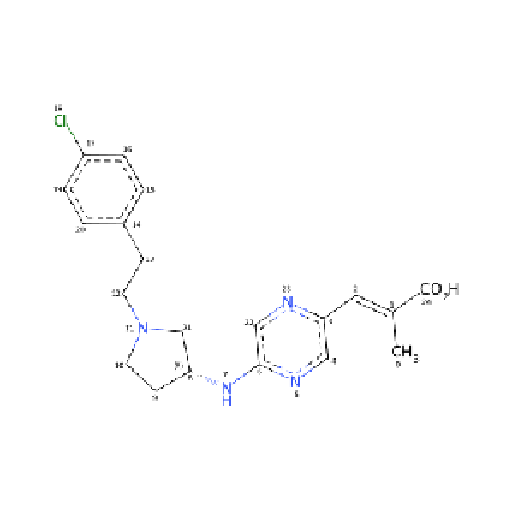 CC(=Cc1cnc(N[C@@H]2CCN(CCc3ccc(Cl)cc3)C2)cn1)C(=O)O